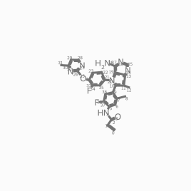 C=CC(=O)Nc1cc(C)c(-c2c(C)c3ncnc(N)c3n2-c2ccc(Oc3nccc(C)n3)c(F)c2)cc1F